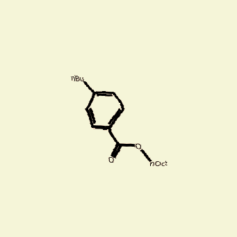 CCCCCCCCOC(=O)c1ccc(CCCC)cc1